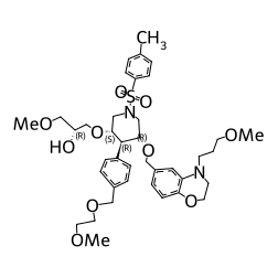 COCCCN1CCOc2ccc(CO[C@H]3CN(S(=O)(=O)c4ccc(C)cc4)C[C@@H](OC[C@H](O)COC)[C@@H]3c3ccc(COCCOC)cc3)cc21